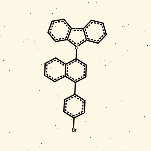 Brc1ccc(-c2ccc(-n3c4ccccc4c4ccccc43)c3ccccc23)cc1